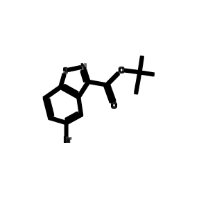 CC(C)(C)OC(=O)c1nsc2ccc(Br)cc12